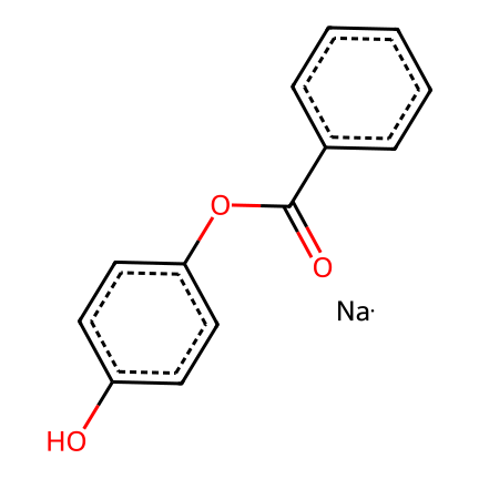 O=C(Oc1ccc(O)cc1)c1ccccc1.[Na]